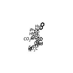 CC(C)C(NC(=O)c1ccc2ccccc2n1)C(=O)NC(CC(=O)O)C(=O)NC(C(=O)N1CC[C@H](CC(C)(C)C)[C@H]1C(=O)NC(CC(=O)O)C(=O)OCc1cncs1)C(C)C